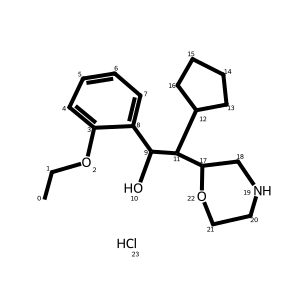 CCOc1ccccc1C(O)C(C1CCCC1)C1CNCCO1.Cl